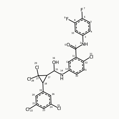 O=C(Nc1ccc(F)c(F)c1)c1cc(NC(O)C2C(c3cc(Cl)cc(Cl)c3)C2(Cl)Cl)ccc1Cl